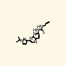 C=CCNC(=S)Nc1ccc2ncc(-c3ccn(C(C)C)n3)nc2n1